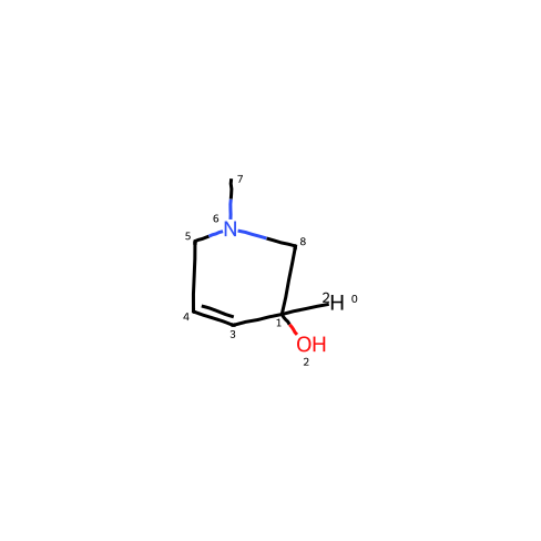 [2H]C1(O)C=CCN(C)C1